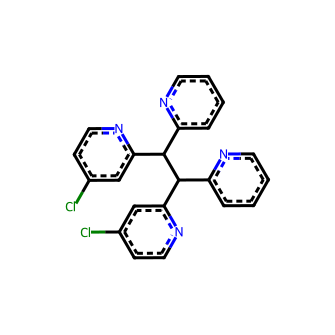 Clc1ccnc(C(c2ccccn2)C(c2ccccn2)c2cc(Cl)ccn2)c1